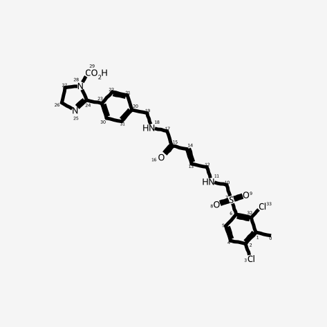 Cc1c(Cl)ccc(S(=O)(=O)CNCC=CC(=O)CNCc2ccc(C3=NCCN3C(=O)O)cc2)c1Cl